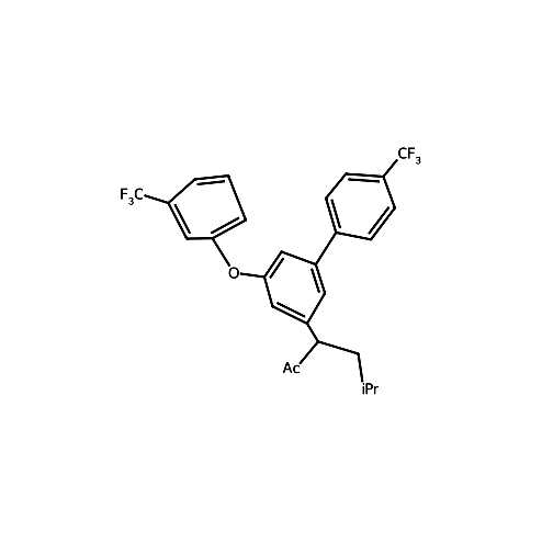 CC(=O)C(CC(C)C)c1cc(Oc2cccc(C(F)(F)F)c2)cc(-c2ccc(C(F)(F)F)cc2)c1